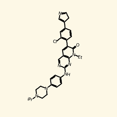 CCn1c(=O)c(-c2ccc(C3=CN=CC3)cc2Cl)cc2cnc(Nc3ccc(N4CCN(C(C)C)CC4)cc3)nc21